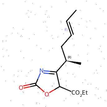 C/C=C/C[C@@H](C)C1=NC(=O)OC1C(=O)OCC